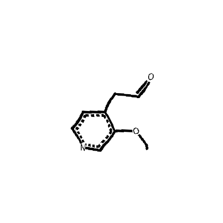 COc1cnccc1CC=O